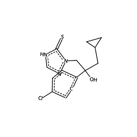 OC(CC1CC1)(Cn1nc[nH]c1=S)c1ccc(Cl)cc1